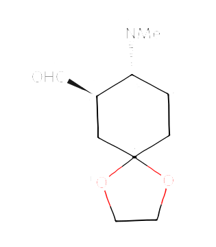 CN[C@@H]1CCC2(C[C@H]1C=O)OCCO2